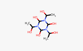 CC(O)N1C(O)N(C(C)O)C(O)N(C(C)O)C1O